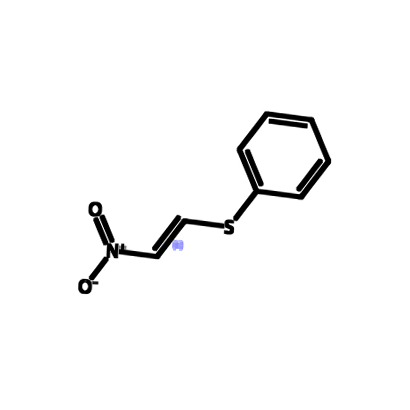 O=[N+]([O-])/C=C/Sc1ccccc1